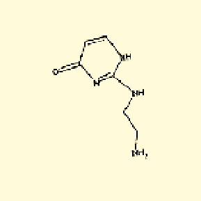 NCCNc1nc(=O)cc[nH]1